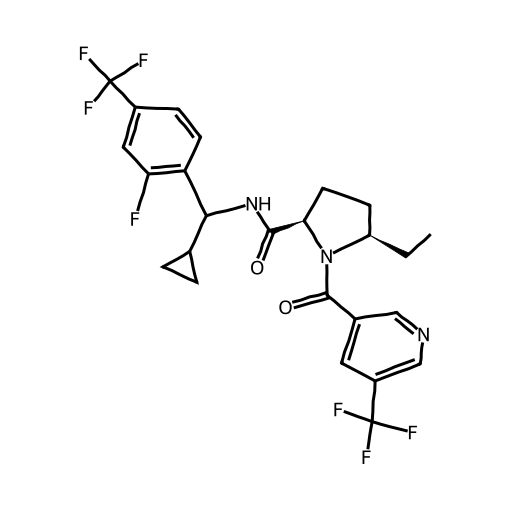 CC[C@@H]1CC[C@H](C(=O)NC(c2ccc(C(F)(F)F)cc2F)C2CC2)N1C(=O)c1cncc(C(F)(F)F)c1